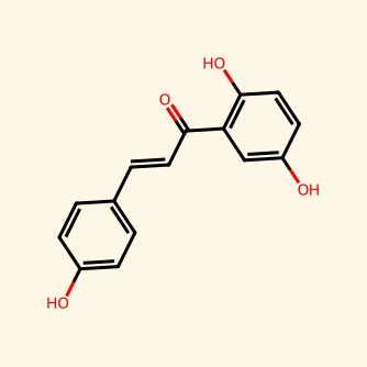 O=C(C=Cc1ccc(O)cc1)c1cc(O)ccc1O